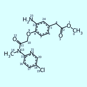 COC(=O)Cc1ccc(OCC(=O)N(C)c2ccc(Cl)cn2)c(N)c1